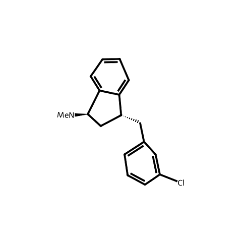 CN[C@@H]1C[C@@H](Cc2cccc(Cl)c2)c2ccccc21